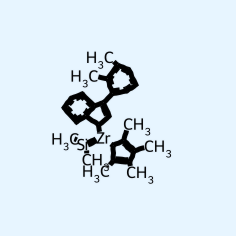 CC1=C(C)[CH]([Zr]([CH]2C=C(c3cccc(C)c3C)c3ccccc32)=[Si](C)C)C(C)=C1C